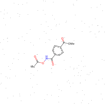 COC(=O)c1ccc(C(=O)NOC(=O)C(C)(C)C)cc1